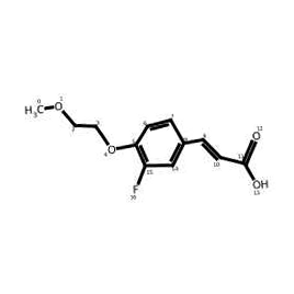 COCCOc1ccc(C=CC(=O)O)cc1F